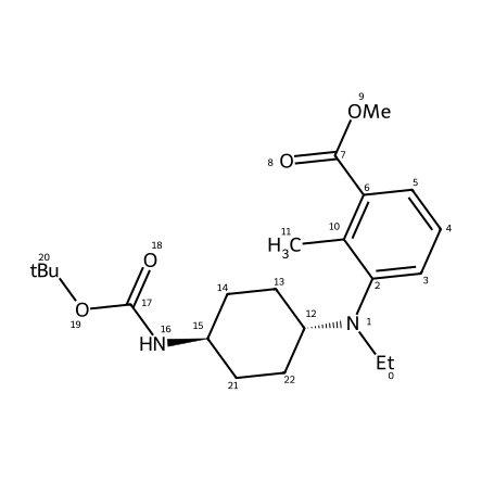 CCN(c1cccc(C(=O)OC)c1C)[C@H]1CC[C@H](NC(=O)OC(C)(C)C)CC1